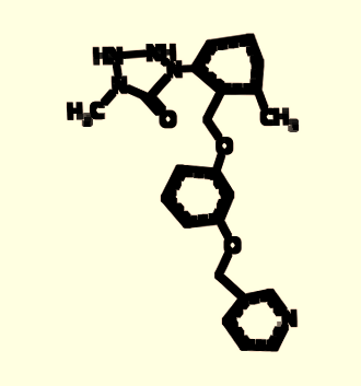 Cc1cccc(N2NNN(C)C2=O)c1COc1cccc(OCc2cccnc2)c1